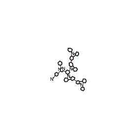 N#Cc1ccc(-c2cc(-c3cc(-n4c5ccccc5c5cc(-c6ccc7c(c6)c6ccccc6n7-c6ccccc6)ccc54)cc(-n4c5ccccc5c5cc(-c6ccc7c(c6)c6ccccc6n7-c6ccccc6)ccc54)c3)nc(-c3ccccc3)n2)cc1